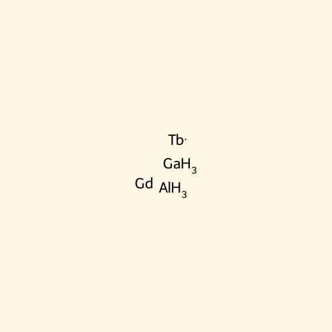 [AlH3].[GaH3].[Gd].[Tb]